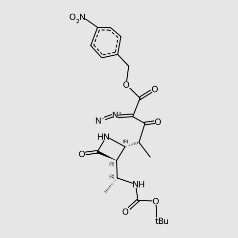 CC(C(=O)C(=[N+]=[N-])C(=O)OCc1ccc([N+](=O)[O-])cc1)[C@H]1NC(=O)[C@@H]1[C@@H](C)NC(=O)OC(C)(C)C